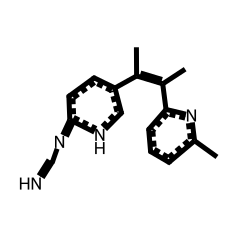 C/C(=C(\C)c1cccc(C)n1)c1cc/c(=N/C=N)[nH]c1